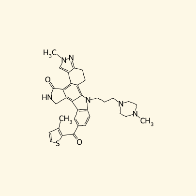 Cc1ccsc1C(=O)c1ccc2c(c1)c1c3c(c4c(c1n2CCCN1CCN(C)CC1)CCc1nn(C)cc1-4)C(=O)NC3